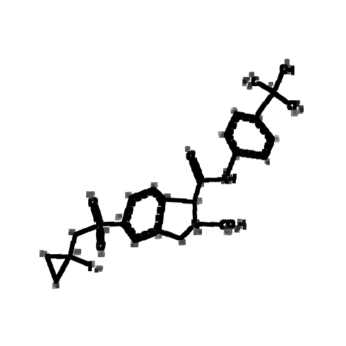 O=C(Nc1ccc(C(O)(C(F)(F)F)C(F)(F)F)cc1)C1c2ccc(S(=O)(=O)CC3(F)CC3)cc2CN1C(=O)O